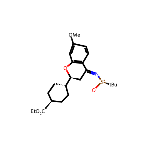 CCOC(=O)[C@H]1CC[C@H]([C@@H]2C/C(=N\[S@+]([O-])C(C)(C)C)c3ccc(OC)cc3O2)CC1